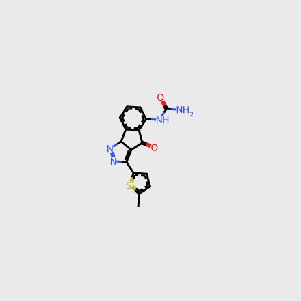 Cc1ccc(C2=C3C(=O)c4c(NC(N)=O)cccc4C3N=N2)s1